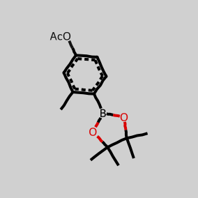 CC(=O)Oc1ccc(B2OC(C)(C)C(C)(C)O2)c(C)c1